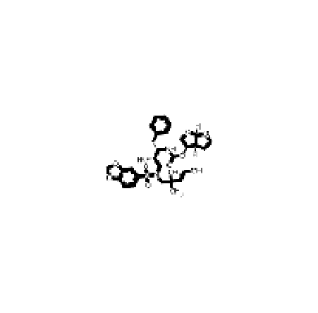 CC(C)(CCO)CN(C[C@H](O)[C@H](Cc1ccccc1)NC(=O)O[C@H]1CO[C@H]2OCC[C@H]21)S(=O)(=O)c1ccc2c(c1)OCO2